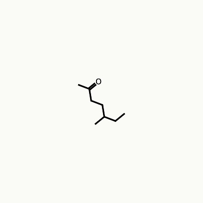 CCC(C)CCC(C)=O